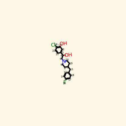 Oc1cc(C(O)CN2CCC(Cc3ccc(F)cc3)CC2)ccc1Cl